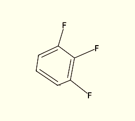 Fc1[c]ccc(F)c1F